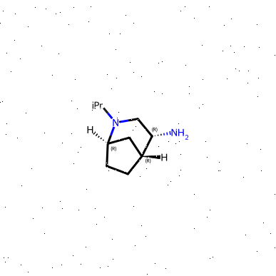 CC(C)N1C[C@H](N)[C@@H]2CC[C@@H]1C2